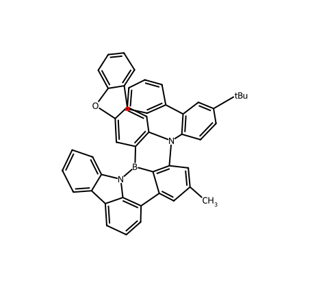 Cc1cc2c3c(c1)N(c1ccc(C(C)(C)C)cc1-c1ccccc1)c1cc4c(cc1B3n1c3ccccc3c3cccc-2c31)oc1ccccc14